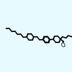 CCCCCCCC1CCC(CCc2ccc(C3CCC(C=O)(CCCCC)CC3)cc2)CC1